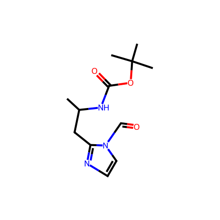 CC(Cc1nccn1C=O)NC(=O)OC(C)(C)C